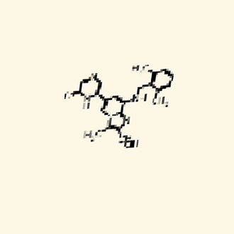 Cc1cccc(C)c1CNc1cc(-c2cncc(=O)[nH]2)cn2c(C)c(C)nc12.Cl